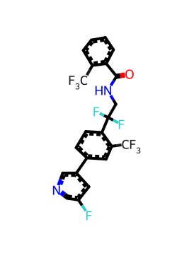 O=C(NCC(F)(F)c1ccc(-c2cncc(F)c2)cc1C(F)(F)F)c1ccccc1C(F)(F)F